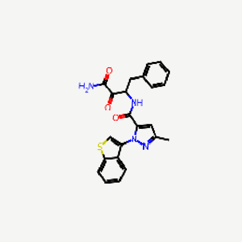 Cc1cc(C(=O)NC(Cc2ccccc2)C(=O)C(N)=O)n(-c2csc3ccccc23)n1